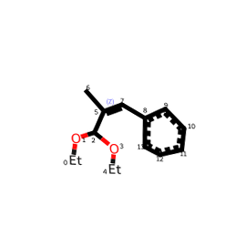 CCOC(OCC)/C(C)=C\c1ccccc1